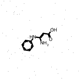 NC(=CC(=O)O)Nc1ccccc1